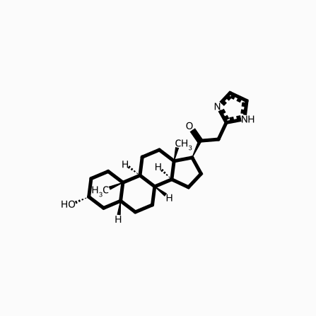 C[C@]12CC[C@@H](O)C[C@H]1CC[C@@H]1[C@@H]2CC[C@]2(C)[C@@H](C(=O)Cc3ncc[nH]3)CC[C@@H]12